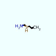 C=CC[SH]=[C]N